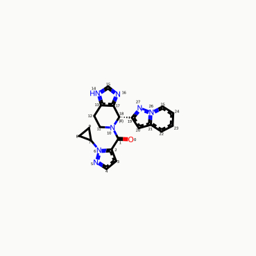 O=C(c1ccnn1C1CC1)N1CCc2[nH]cnc2[C@@H]1c1cc2ccccn2n1